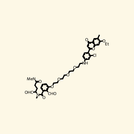 CCOc1cc2oc(-c3ccc(NCCOCCOCCOCCOc4cccc(C(=O)N(C)C(C=O)CCC(=O)NC)c4C=O)cc3Cl)cc(=O)c2cc1C